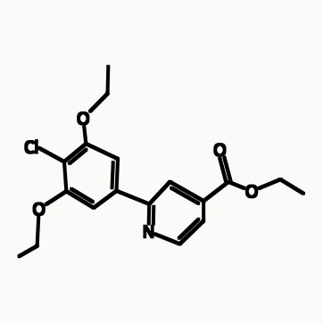 CCOC(=O)c1ccnc(-c2cc(OCC)c(Cl)c(OCC)c2)c1